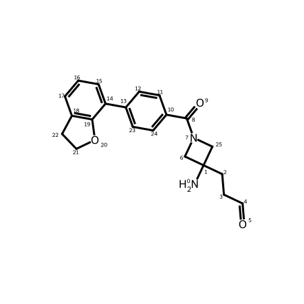 NC1(CCC=O)CN(C(=O)c2ccc(-c3cccc4c3OCC4)cc2)C1